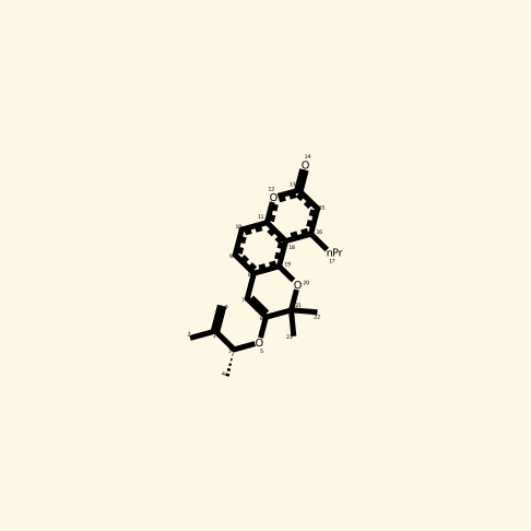 C=C(C)[C@@H](C)OC1=Cc2ccc3oc(=O)cc(CCC)c3c2OC1(C)C